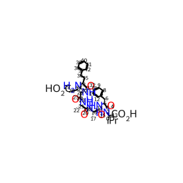 CC(C)[C@H](NC(=O)[C@H](Cc1ccccc1)NC(=O)[C@H](C)NC(=O)[C@H](C)NC(=O)[C@H](CCC(=O)O)NC(=O)[C@@H](N)CCc1ccccc1)C(=O)O